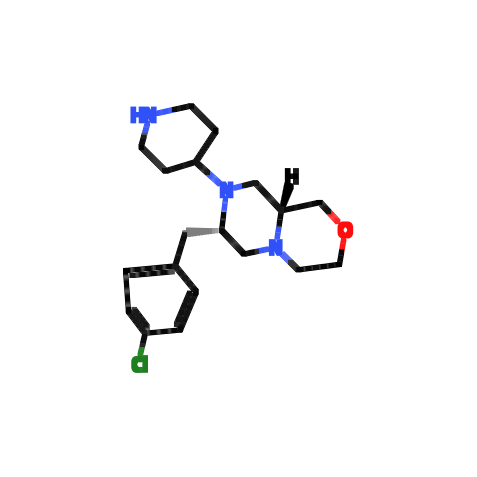 Clc1ccc(C[C@H]2CN3CCOC[C@H]3CN2C2CCNCC2)cc1